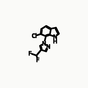 FC(F)c1cnn(-c2c(Cl)ccc3cc[nH]c23)c1